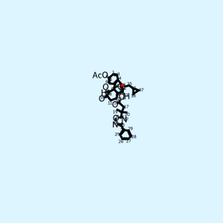 CC(=O)Oc1ccc2c3c1O[C@H]1C(=O)CC[C@@]4(OC(=O)CC(C)(C)c5nc(-c6ccccc6)no5)[C@@H](C2)N(CC2CC2)CC[C@]314